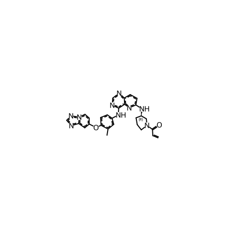 C=CC(=O)N1CCC[C@@H](Nc2ccc3ncnc(Nc4ccc(Oc5ccn6ncnc6c5)c(C)c4)c3n2)C1